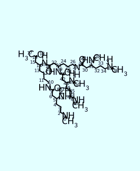 CNCCCC(CC(=O)NCCCCC(CC(C)=O)NC(=O)CC(CCCNC(=O)CC(CCCNC)NC)NC(=O)CC(CCCNC)NC)NC